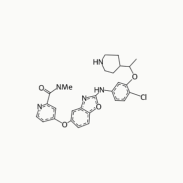 CNC(=O)c1cc(Oc2ccc3oc(Nc4ccc(Cl)c(OC(C)C5CCNCC5)c4)nc3c2)ccn1